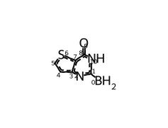 Bc1nc2ccsc2c(=O)[nH]1